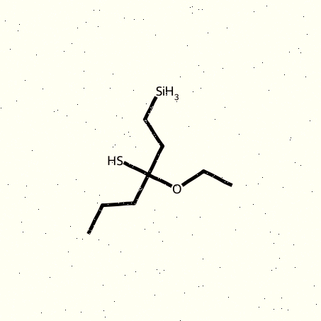 CCCC(S)(CC[SiH3])OCC